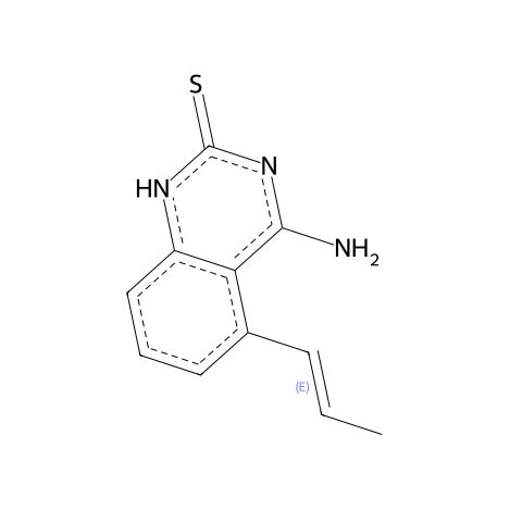 C/C=C/c1cccc2[nH]c(=S)nc(N)c12